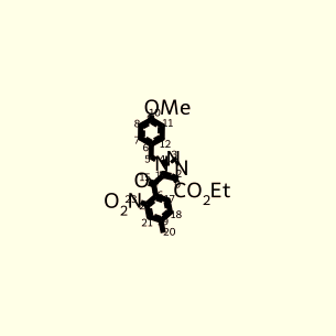 CCOC(=O)c1nnn(Cc2ccc(OC)cc2)c1C(=O)c1ccc(C)cc1[N+](=O)[O-]